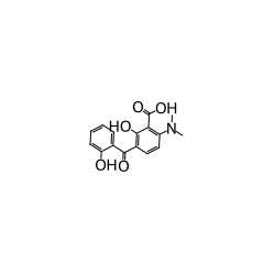 CN(C)c1ccc(C(=O)c2ccccc2O)c(O)c1C(=O)O